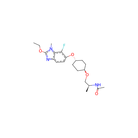 CCOc1nc2ccc(O[C@H]3CC[C@H](OC[C@H](C)NC(C)=O)CC3)c(F)c2n1C